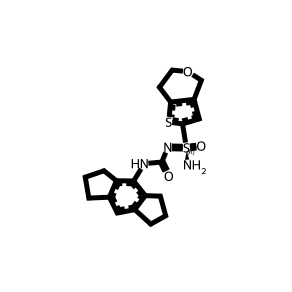 N[S@@](=O)(=NC(=O)Nc1c2c(cc3c1CCC3)CCC2)c1cc2c(s1)CCOC2